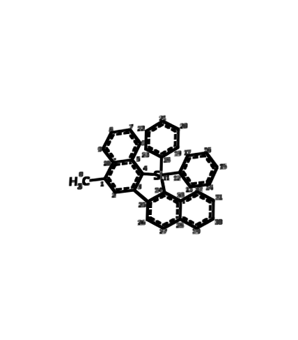 Cc1cc2c(c3ccccc13)[Si](c1ccccc1)(c1ccccc1)c1c-2ccc2ccccc12